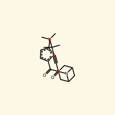 Cc1ccc(C(=O)N2CC3CC(C2)N3C(=O)C#CC(C)(C)N(C)C)s1